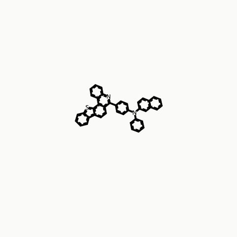 c1ccc(N(c2ccc(-c3nc4ccccc4c4c3ccc3c5ccccc5sc34)cc2)c2ccc3ccccc3c2)cc1